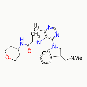 CNCC1CN(c2ncnc(C)c2/N=C(\C)C(=O)NC2CCOCC2)c2ccccc21